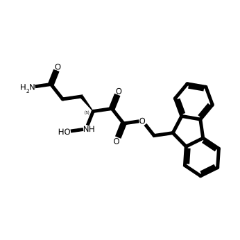 NC(=O)CC[C@H](NO)C(=O)C(=O)OCC1c2ccccc2-c2ccccc21